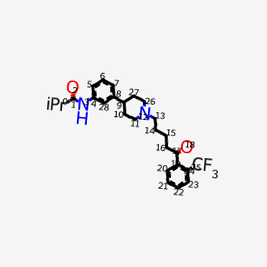 CC(C)C(=O)Nc1cccc(C2CCN(CCCCC(=O)c3ccccc3C(F)(F)F)CC2)c1